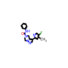 Cc1cc(-c2cnn3c2CN(C(=O)Nc2ccccc2)CC3)ncc1F